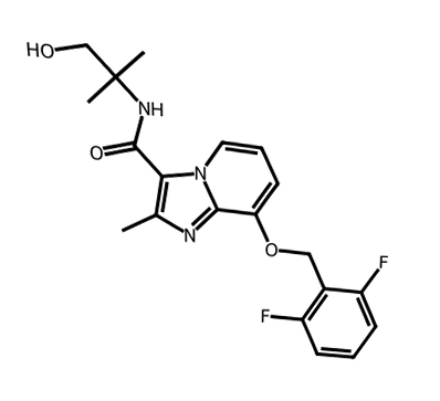 Cc1nc2c(OCc3c(F)cccc3F)cccn2c1C(=O)NC(C)(C)CO